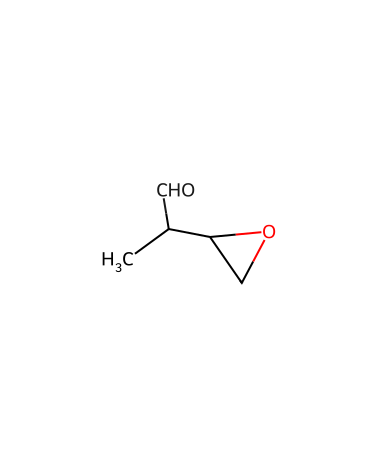 CC(C=O)C1CO1